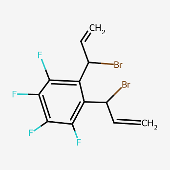 C=CC(Br)c1c(F)c(F)c(F)c(F)c1C(Br)C=C